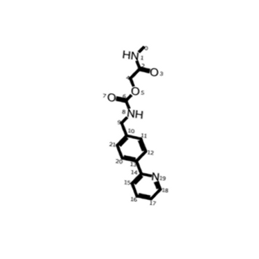 CNC(=O)COC(=O)NCc1ccc(-c2ccccn2)cc1